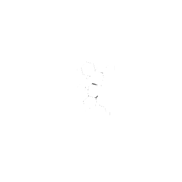 CCOC(=O)C(CC)N(C)C(=O)[C@@H]1C[C@H](C)CC[C@H]1C(C)C